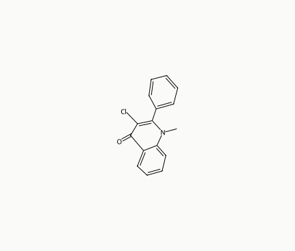 Cn1c(-c2ccccc2)c(Cl)c(=O)c2ccccc21